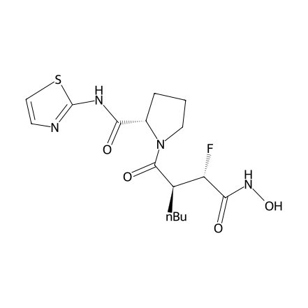 CCCC[C@@H](C(=O)N1CCC[C@H]1C(=O)Nc1nccs1)[C@H](F)C(=O)NO